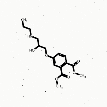 CCCNCC(O)COc1ccc(C(=O)OC)c(C(=O)OC)c1